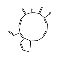 C=CC1=C(\C=C/C)C(C)C/C=C\C=C(\F)C(=C)NC(=C)/C=C\1